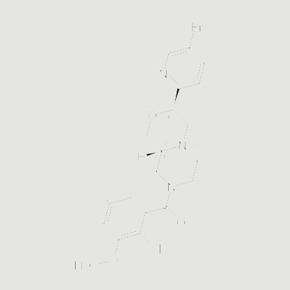 COc1cccc(C(=O)N2CCN3C[C@H](c4ccc(Br)cn4)OC[C@H]3C2)c1Cl